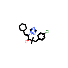 CC(C)(Cc1ccc(Cl)cc1)C(=O)C(=CC1CCCCC1)n1cncn1